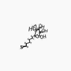 OC1O[C@H](CCCCCC=S)[C@H](O)[C@H](O)[C@H]1O